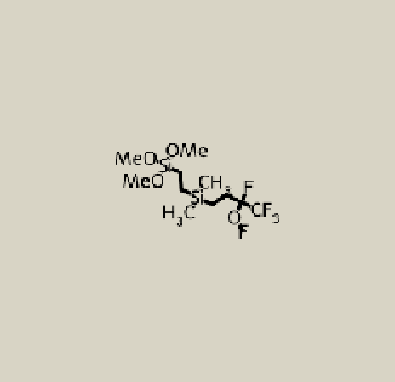 CO[Si](CC[Si](C)(C)CCC(F)(OF)C(F)(F)F)(OC)OC